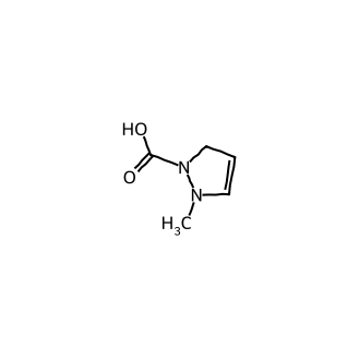 CN1C=CCN1C(=O)O